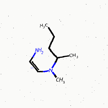 CCCC(C)N(C)/C=C\N